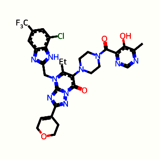 CCc1c(N2CCN(C(=O)c3ncnc(C)c3O)CC2)c(=O)n2nc(C3=CCOCC3)nc2n1Cc1nc2cc(C(F)(F)F)cc(Cl)c2[nH]1